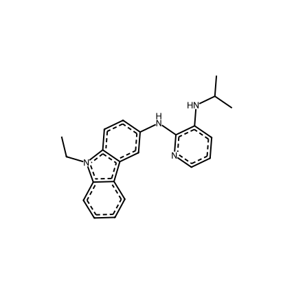 CCn1c2ccccc2c2cc(Nc3ncccc3NC(C)C)ccc21